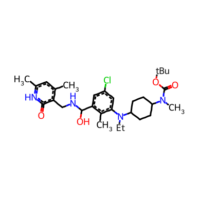 CCN(c1cc(Cl)cc(C(O)NCc2c(C)cc(C)[nH]c2=O)c1C)C1CCC(N(C)C(=O)OC(C)(C)C)CC1